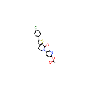 CC(=O)Oc1ccc(N2CCc3cc(-c4ccc(Cl)cc4)sc3C2=O)cn1